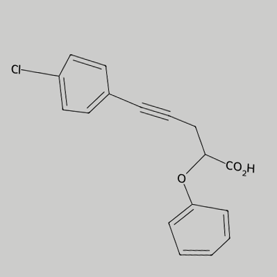 O=C(O)C(CC#Cc1ccc(Cl)cc1)Oc1ccccc1